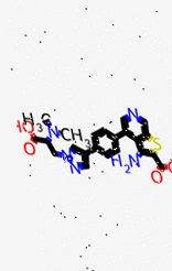 COC(=O)c1sc2cncc(-c3ccc(-c4cnn(CC(C(=O)O)N(C)C)c4)cc3)c2c1N